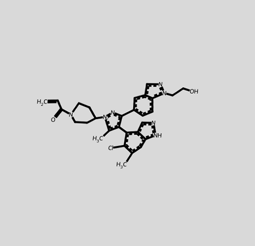 C=CC(=O)N1CCC(n2nc(-c3ccc4c(cnn4CCO)c3)c(-c3c(Cl)c(C)cc4[nH]ncc34)c2C)CC1